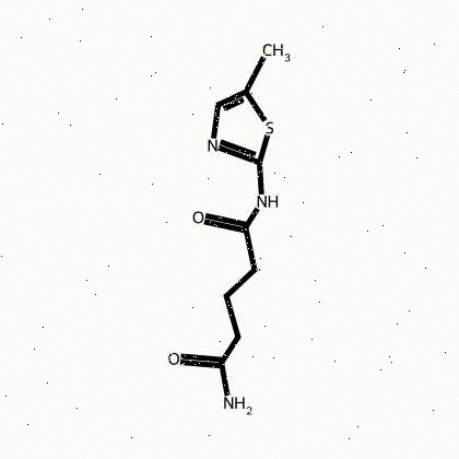 Cc1cnc(NC(=O)[CH]CCC(N)=O)s1